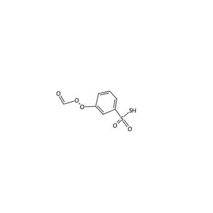 O=COOc1cccc(S(=O)(=O)S)c1